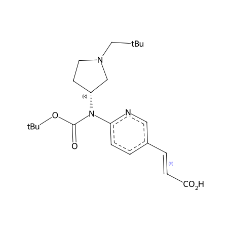 CC(C)(C)CN1CC[C@@H](N(C(=O)OC(C)(C)C)c2ccc(/C=C/C(=O)O)cn2)C1